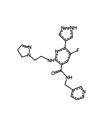 O=C(NCc1cccnc1)c1cc(F)c(-c2cn[nH]c2)nc1NCCN1CCC=N1